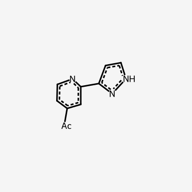 CC(=O)c1ccnc(-c2cc[nH]n2)c1